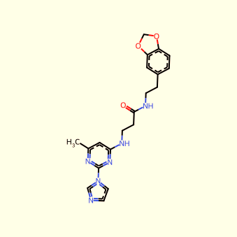 Cc1cc(NCCC(=O)NCCc2ccc3c(c2)OCO3)nc(-n2ccnc2)n1